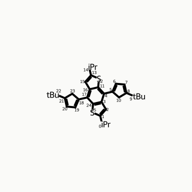 CC(C)c1cc2c(C3=CC=C(C(C)(C)C)C3)c3sc(C(C)C)cc3c(C3=CC=C(C(C)(C)C)C3)c2s1